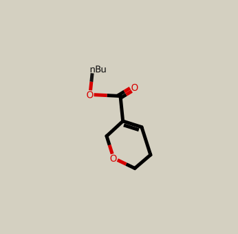 CCCCOC(=O)C1=CCCOC1